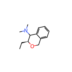 CC[C@@H]1OCc2ccccc2C1N(C)C